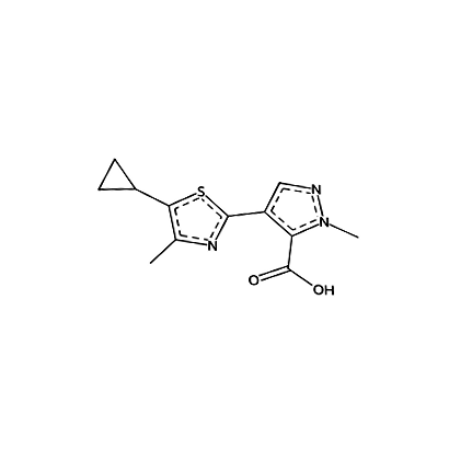 Cc1nc(-c2cnn(C)c2C(=O)O)sc1C1CC1